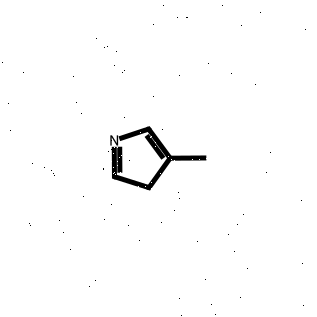 CC1=CN=CC1